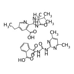 CCc1cnc(C2=NC(C)(C(C)C)C(=O)N2)c(C(=O)O)c1.Cc1cc(C)nc(NC(=O)NS(=O)(=O)c2ccccc2C(=O)O)n1